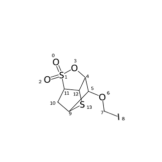 O=S1(=O)OC2C(OCI)C3CC1C2S3